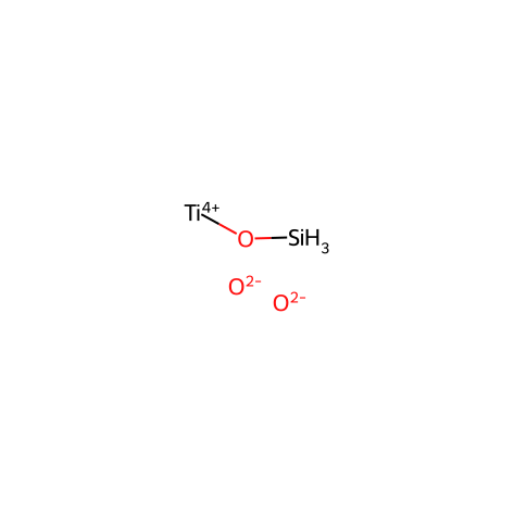 [O-2].[O-2].[SiH3][O][Ti+4]